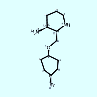 CC(C)[C@H]1CC[C@@H](OC[C@@H]2NCCC[C@@H]2N)CC1